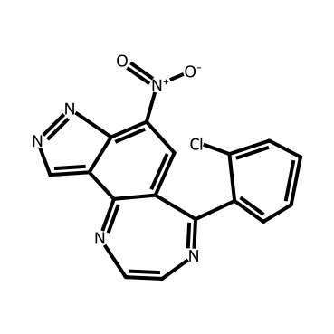 O=[N+]([O-])c1cc2c(-c3ccccc3Cl)nccnc2c2cnnc12